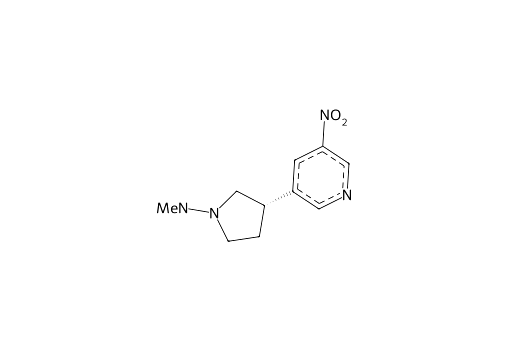 CNN1CC[C@@H](c2cncc([N+](=O)[O-])c2)C1